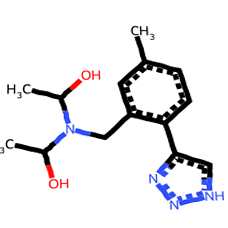 Cc1ccc(-c2c[nH]nn2)c(CN(C(C)O)C(C)O)c1